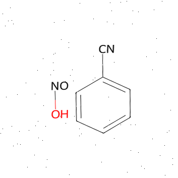 N#Cc1ccccc1.O=NO